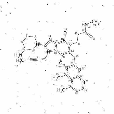 CC#CCn1c(N2CCCC(N)C2)nc2c(=O)n(CCC(=O)NC)n(Cc3nc(C)c4c(C)cccc4n3)c(=O)c21